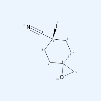 N#C[C@]1(I)CC[C@]2(CC1)CO2